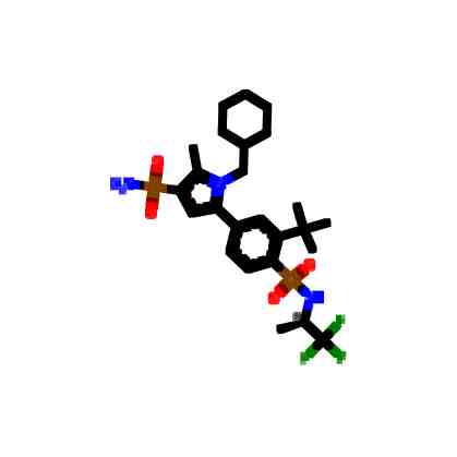 Cc1c(S(N)(=O)=O)cc(-c2ccc(S(=O)(=O)N[C@H](C)C(F)(F)F)c(C(C)(C)C)c2)n1CC1CCCCC1